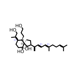 C=C(/C=C/C=C(\C)CCC=C(C)C)C1CC[C@]2([C@H](CCCO)/C(=C(/C)CO)CC[C@]2(C)O)[C@@H]1O